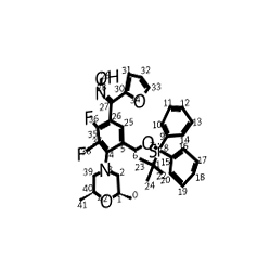 C[C@@H]1CN(c2c(CO[Si](c3ccccc3)(c3ccccc3)C(C)(C)C)cc(C(=NO)c3ccco3)c(F)c2F)C[C@H](C)O1